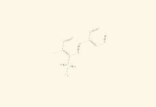 NS(=O)(=O)c1c(Cl)ccc(-c2ccccc2)c1C(F)(F)F